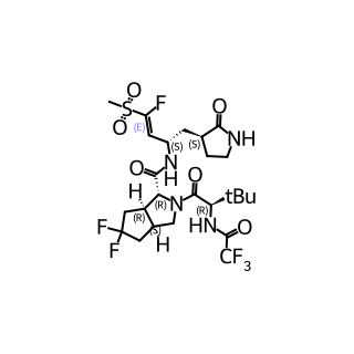 CC(C)(C)[C@@H](NC(=O)C(F)(F)F)C(=O)N1C[C@H]2CC(F)(F)C[C@H]2[C@@H]1C(=O)N[C@H](/C=C(\F)S(C)(=O)=O)C[C@@H]1CCNC1=O